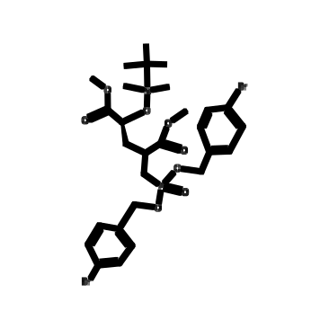 COC(=O)C(C[C@H](O[Si](C)(C)C(C)(C)C)C(=O)OC)CP(=O)(OCc1ccc(Br)cc1)OCc1ccc(Br)cc1